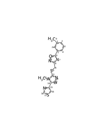 Cc1cccc(-c2nc(CSc3nnc(-c4cscn4)n3C)no2)c1